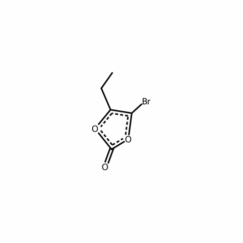 CCc1oc(=O)oc1Br